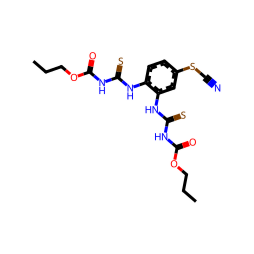 CCCOC(=O)NC(=S)Nc1ccc(SC#N)cc1NC(=S)NC(=O)OCCC